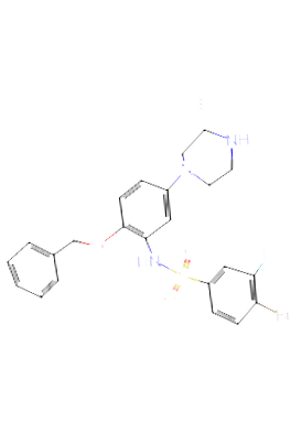 C[C@@H]1CN(c2ccc(OCc3ccccc3)c(NS(=O)(=O)c3ccc(Br)c(F)c3)c2)C[C@H](C)N1